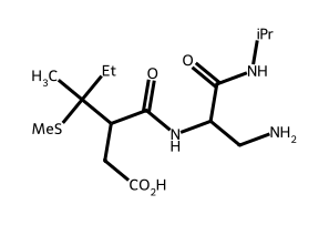 CCC(C)(SC)C(CC(=O)O)C(=O)NC(CN)C(=O)NC(C)C